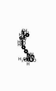 COC(=O)N[C@H]1CCC(=O)N2CCC[C@@H](c3ncc(-c4ccc(-c5ccc(NC(=O)NC(=O)[C@@H]6CCCN6C(=O)[C@H](NC(=O)OC)c6ccccc6)cc5)cc4)[nH]3)N2C1=O